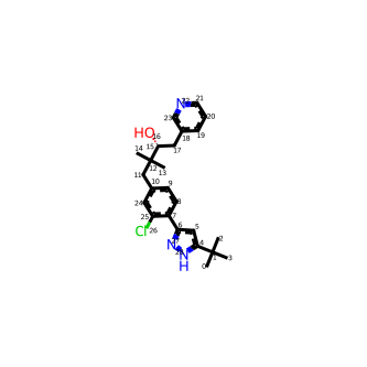 CC(C)(C)c1cc(-c2ccc(CC(C)(C)[C@H](O)Cc3cccnc3)cc2Cl)n[nH]1